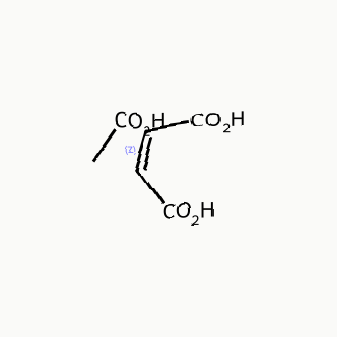 CC(=O)O.O=C(O)/C=C\C(=O)O